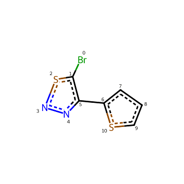 Brc1snnc1-c1cccs1